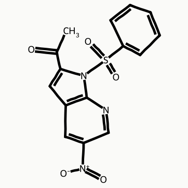 CC(=O)c1cc2cc([N+](=O)[O-])cnc2n1S(=O)(=O)c1ccccc1